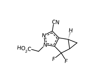 N#Cc1nn(CC(=O)O)c2c1[C@H]1CC1C2(F)F